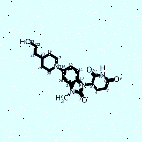 Cn1c(=O)n(C2CCC(=O)NC2=O)c2ccc(N3CCC(CCO)CC3)cc21